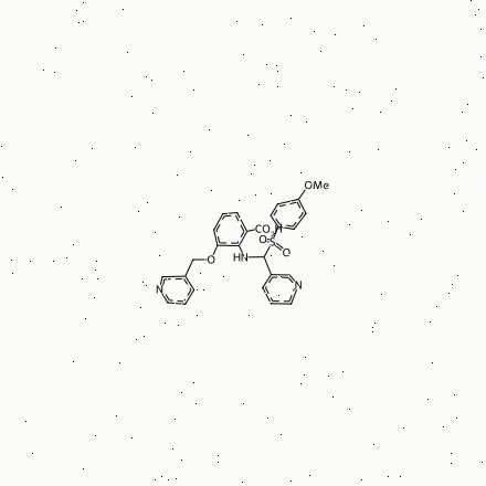 COc1ccc(S(=O)(=O)C(Nc2c(OCc3cccnc3)cccc2C(=O)O)c2cccnc2)cc1